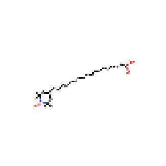 CC1(C)CC(CCCCCCCCCCCCCCCCCC(=O)O)CC(C)(C)N1O